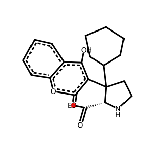 [CH2]CC(=O)[C@H]1NCCC1(c1c(O)c2ccccc2oc1=O)C1CCCCC1